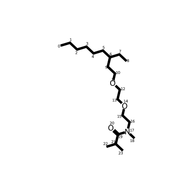 CCCCCCC(CC)CCOCCOCCN(C)C(=O)C(C)C